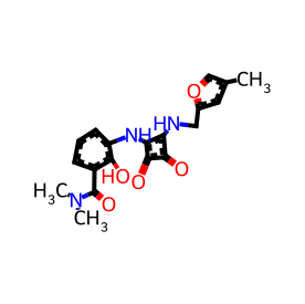 Cc1coc(CNc2c(Nc3cccc(C(=O)N(C)C)c3O)c(=O)c2=O)c1